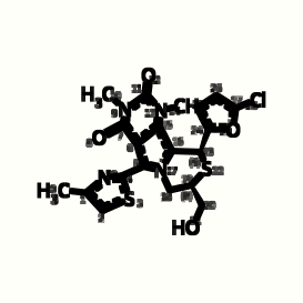 Cc1csc(-c2c3c(=O)n(C)c(=O)n(C)c3c3n2C[C@H](CO)S[C@@H]3c2ccc(Cl)o2)n1